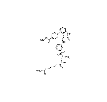 CCN(CCCCCC(=O)OC)C(=O)CN(C)S(=O)(=O)c1cccc(N/C=C2\C(=O)Nc3cccc(N4CCN(C(=O)OC(C)(C)C)CC4)c32)c1